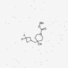 CC(C)(C)OC(=O)N1CCC(C#N)(CC2CC(F)(F)C2)CC1